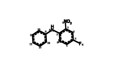 O=[N+]([O-])c1cc(F)cnc1Nc1ccccc1